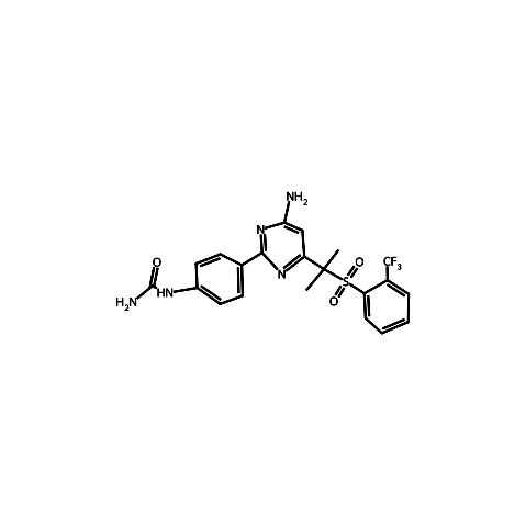 CC(C)(c1cc(N)nc(-c2ccc(NC(N)=O)cc2)n1)S(=O)(=O)c1ccccc1C(F)(F)F